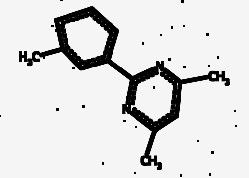 Cc1cccc(-c2nc(C)cc(C)n2)c1